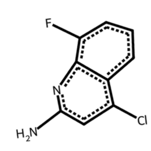 Nc1cc(Cl)c2cccc(F)c2n1